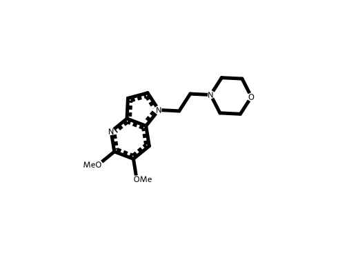 COc1cc2c(ccn2CCN2CCOCC2)nc1OC